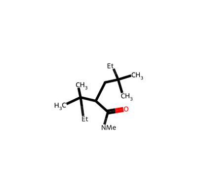 CCC(C)(C)CC(C(=O)NC)C(C)(C)CC